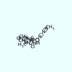 COc1cc(N2CCC(N3CCN(C)CC3)CC2)ccc1Nc1nc(Nc2ncc(P(C)(C)=O)nc2OC)ncc1Cl